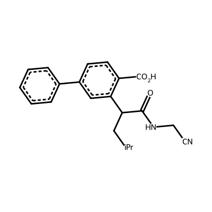 CC(C)CC(C(=O)NCC#N)c1cc(-c2ccccc2)ccc1C(=O)O